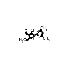 CCc1nn(-c2nc(C)cc(C)n2)c(Cl)c1C=O